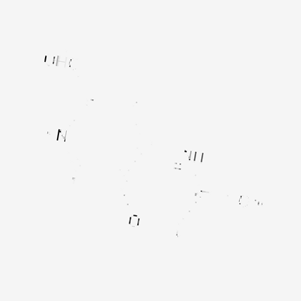 O=Cc1cc2c(cn1)OCC(=O)N2